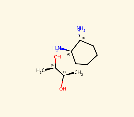 C[C@@H](O)[C@@H](C)O.N[C@@H]1CCCC[C@H]1N